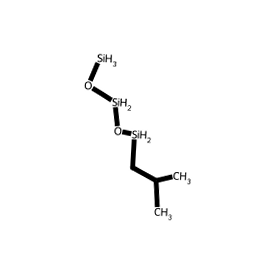 CC(C)C[SiH2]O[SiH2]O[SiH3]